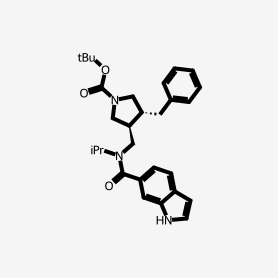 CC(C)N(C[C@H]1CN(C(=O)OC(C)(C)C)C[C@@H]1Cc1ccccc1)C(=O)c1ccc2cc[nH]c2c1